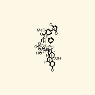 COc1cc(N2C(=O)C=CC2=O)ccc1C(=O)NCCOP(=O)(O)OP(=O)(O)OCC(=O)[C@@]12O[C@H](c3cccc(F)c3)O[C@@H]1C[C@H]1[C@@H]3C[C@H](F)C4=CC(=O)C=C[C@]4(C)[C@@]3(F)[C@@H](O)C[C@@]12C